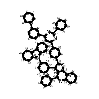 c1ccc(-c2cccc(-c3cc(-c4ccc(-c5sc6c(c(-c7ccccc7)nc7ccccc76)c5-c5cccc(-n6c7ccccc7c7ccccc76)c5)cc4)nc(-c4ccccc4)n3)c2)cc1